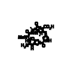 CNCC(=O)N[C@H](C)[C@H]1C(=O)N2C(C(=O)O)=C(S[C@@H]3CN[C@H](C(=O)N4C[C@@H](O)[C@H](NC(=N)N)C4)C3)[C@H](C)[C@H]12